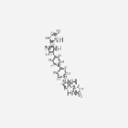 C[C@@H]1CC[C@@H](c2ncc(-c3ccc(-c4ccc(-c5cnc([C@@H]6CC[C@@H](C)N6)[nH]5)cc4)cc3)[nH]2)N1